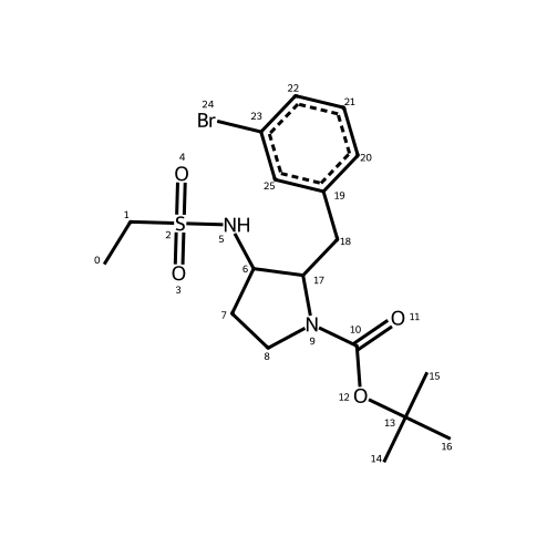 CCS(=O)(=O)NC1CCN(C(=O)OC(C)(C)C)C1Cc1cccc(Br)c1